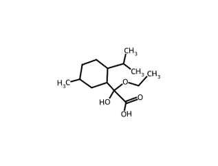 CCOC(O)(C(=O)O)C1CC(C)CCC1C(C)C